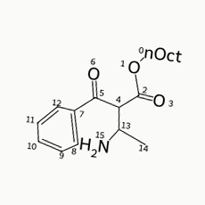 CCCCCCCCOC(=O)C(C(=O)c1ccccc1)C(C)N